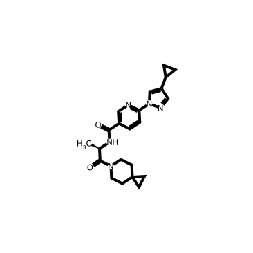 C[C@@H](NC(=O)c1ccc(-n2cc(C3CC3)cn2)nc1)C(=O)N1CCC2(CC1)CC2